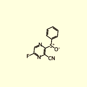 N#Cc1nc(F)cnc1[S+]([O-])c1ccccc1